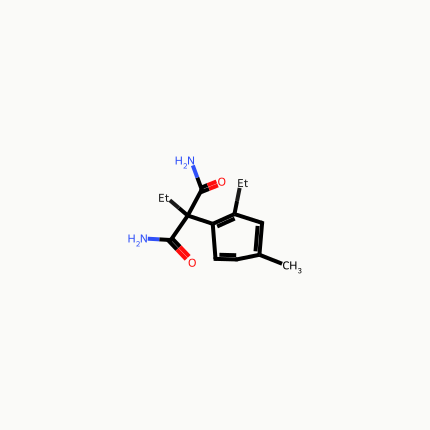 CCc1cc(C)ccc1C(CC)(C(N)=O)C(N)=O